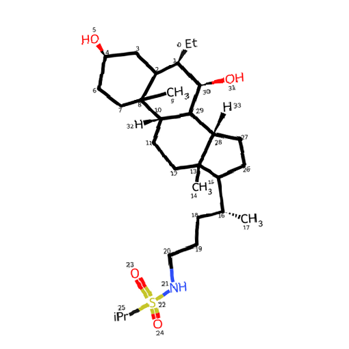 CC[C@@H]1C2C[C@H](O)CCC2(C)[C@H]2CCC3(C)C([C@H](C)CCCNS(=O)(=O)C(C)C)CC[C@H]3C2[C@@H]1O